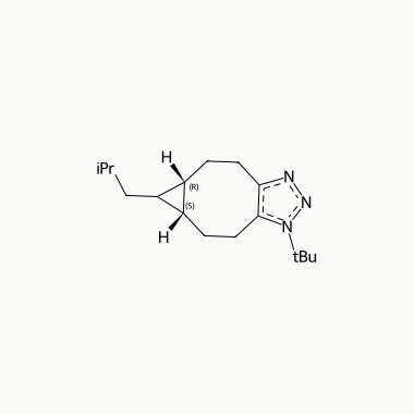 CC(C)CC1[C@H]2CCc3c(nnn3C(C)(C)C)CC[C@@H]12